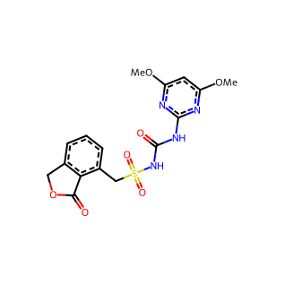 COc1cc(OC)nc(NC(=O)NS(=O)(=O)Cc2cccc3c2C(=O)OC3)n1